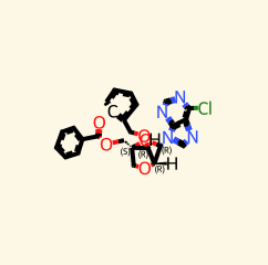 O=C(OC[C@]12CO[C@@H]([C@H](n3cnc4c(Cl)ncnc43)O1)[C@H]2OCc1ccccc1)c1ccccc1